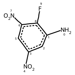 Nc1cc([N+](=O)[O-])cc([N+](=O)[O-])c1F